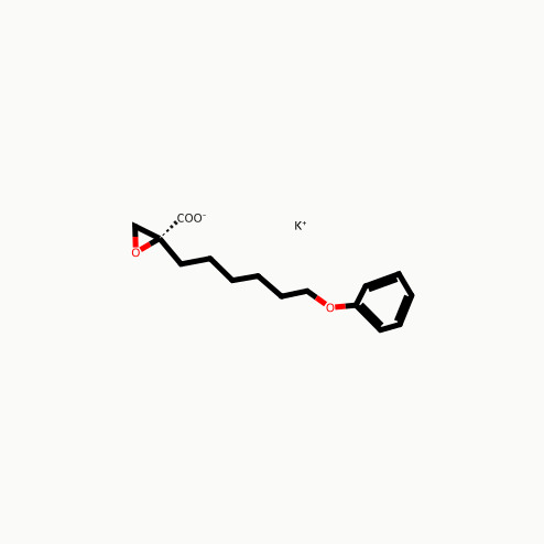 O=C([O-])[C@@]1(CCCCCCOc2ccccc2)CO1.[K+]